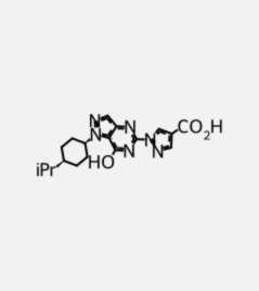 CC(C)[C@H]1CC[C@@H](n2ncc3nc(-n4cc(C(=O)O)cn4)nc(O)c32)CC1